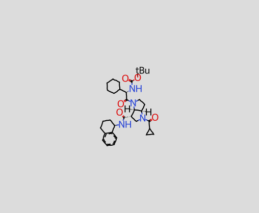 CC(C)(C)OC(=O)N[C@H](C(=O)N1CC[C@@H]2[C@H]1[C@@H](C(=O)N[C@@H]1CCCc3ccccc31)CN2C(=O)C1CC1)C1CCCCC1